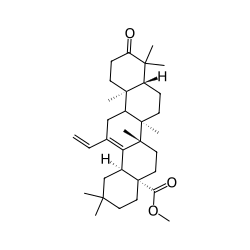 C=CC1=C2[C@@H]3CC(C)(C)CC[C@]3(C(=O)OC)CC[C@@]2(C)[C@]2(C)CC[C@H]3C(C)(C)C(=O)CC[C@]3(C)C2C1